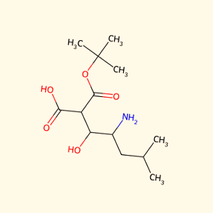 CC(C)CC(N)C(O)C(C(=O)O)C(=O)OC(C)(C)C